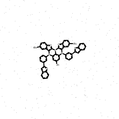 CC(C)c1cc2c3c(c1)N(c1cccc(-c4cc5ccccc5s4)c1)c1c(oc4ccc(C(C)(C)C)cc14)B3c1oc3ccc(C(C)(C)C)cc3c1N2c1cccc(-c2cc3ccccc3s2)c1